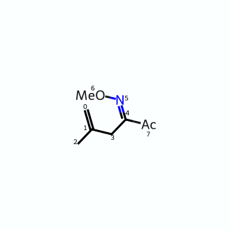 C=C(C)C/C(=N\OC)C(C)=O